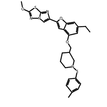 CCc1cc(OCC2CCCN(Sc3ccc(C)cc3)C2)c2cc(-c3cn4nc(OC)sc4n3)oc2c1